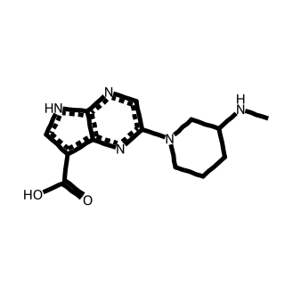 CNC1CCCN(c2cnc3[nH]cc(C(=O)O)c3n2)C1